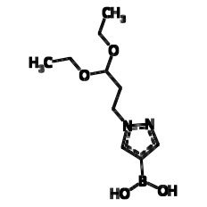 CCOC(CCn1cc(B(O)O)cn1)OCC